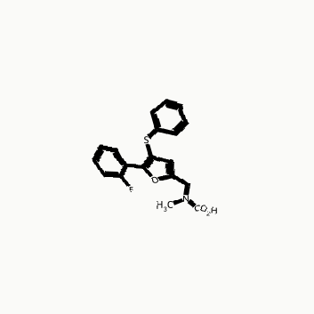 CN(Cc1cc(Sc2ccccc2)c(-c2ccccc2F)o1)C(=O)O